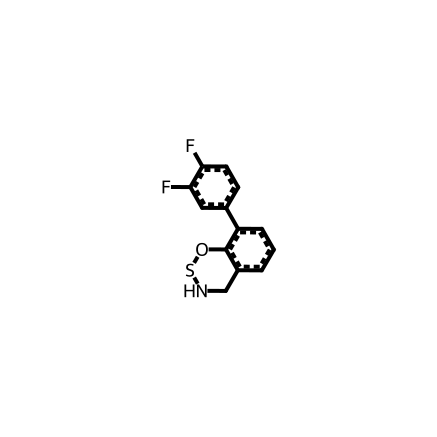 Fc1ccc(-c2cccc3c2OSNC3)cc1F